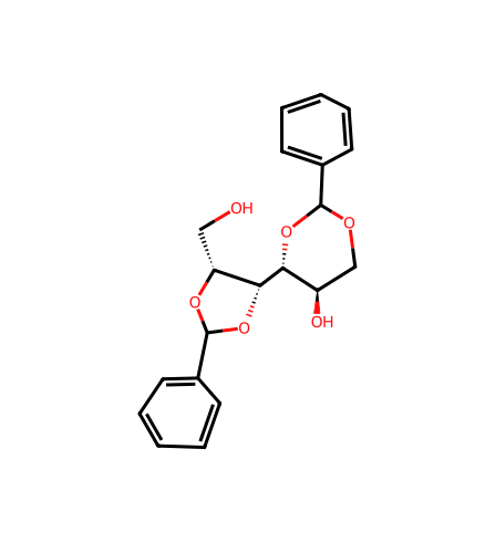 OC[C@H]1OC(c2ccccc2)O[C@H]1[C@@H]1OC(c2ccccc2)OC[C@H]1O